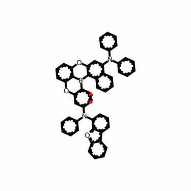 c1ccc(N(c2ccccc2)c2cc3c(c4ccccc24)B2c4c(cccc4Oc4cc(N(c5ccccc5)c5cccc6c5oc5ccccc56)c5ccccc5c42)O3)cc1